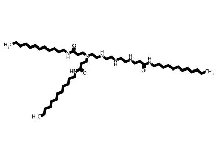 CCCCCCCCCCCCNC(=O)CCNCCNCCNCCN(CCC(=O)NCCCCCCCCCCCC)CCC(=O)NCCCCCCCCCCCC